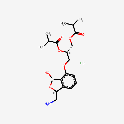 CC(C)C(=O)OC[C@H](COc1cccc2c1B(O)O[C@@H]2CN)OC(=O)C(C)C.Cl